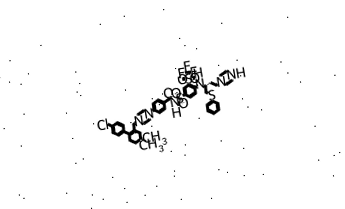 CC1(C)CCC(c2ccc(Cl)cc2)=C(CN2CCN(c3ccc(C(=O)NS(=O)(=O)c4ccc(N[C@H](CCN5CCNCC5)CSc5ccccc5)c(S(=O)(=O)C(F)(F)F)c4)cc3)CC2)C1